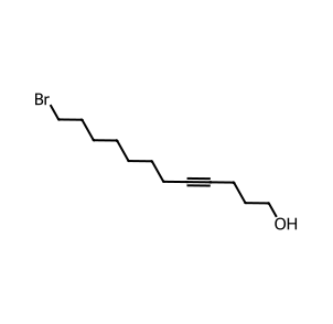 OCCCC#CCCCCCCCBr